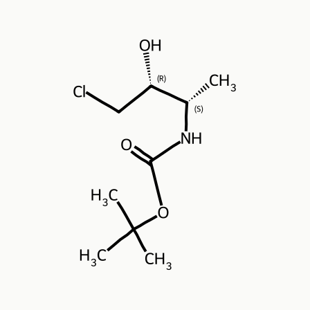 C[C@H](NC(=O)OC(C)(C)C)[C@@H](O)CCl